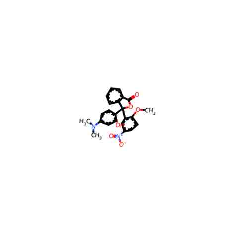 COc1ccc([N+](=O)[O-])cc1C1(c2ccc(N(C)C)cc2O)OC(=O)c2ccccc21